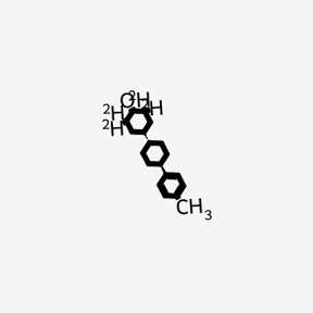 [2H]C1([2H])CC([C@H]2CC[C@H](c3ccc(C)cc3)CC2)CC([2H])([2H])C1=O